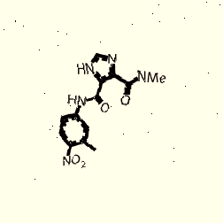 CNC(=O)c1nc[nH]c1C(=O)Nc1ccc([N+](=O)[O-])c(C)c1